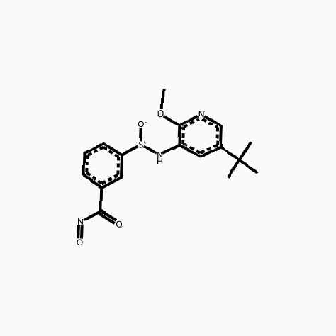 COc1ncc(C(C)(C)C)cc1N[S+]([O-])c1cccc(C(=O)N=O)c1